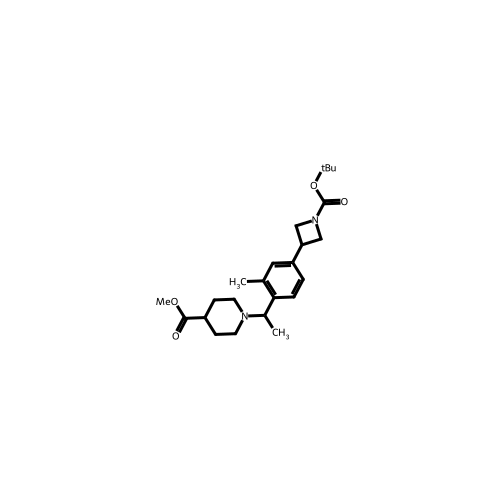 COC(=O)C1CCN(C(C)c2ccc(C3CN(C(=O)OC(C)(C)C)C3)cc2C)CC1